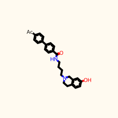 CC(=O)c1ccc(-c2ccc(C(=O)NCCCCN3CCc4ccc(O)cc4C3)cc2)cc1